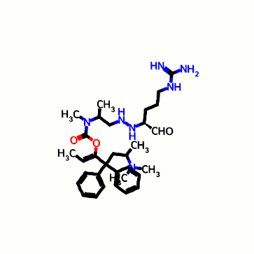 C/C=C(\OC(=O)N(C)C(C)CNN[C@H](C=O)CCCNC(=N)N)C(CC(C)N(C)C)(c1ccccc1)c1ccccc1